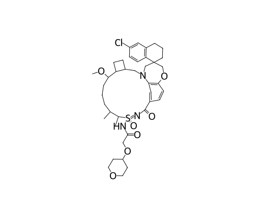 COC1CCCC(C)C(C)S(=O)(NC(=O)COC2CCOCC2)=NC(=O)c2ccc3c(c2)N(CC2CCC21)CC1(CCCc2cc(Cl)ccc21)CO3